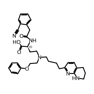 N#Cc1ccccc1CC(=O)N[C@@H](CCN(CCCCc1ccc2c(n1)NCCC2)CCOc1ccccc1)C(=O)O